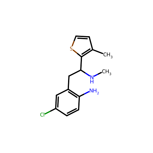 CNC(Cc1cc(Cl)ccc1N)c1sccc1C